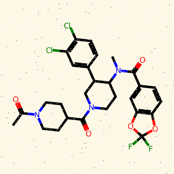 CC(=O)N1CCC(C(=O)N2CCC(N(C)C(=O)c3ccc4c(c3)OC(F)(F)O4)C(c3ccc(Cl)c(Cl)c3)C2)CC1